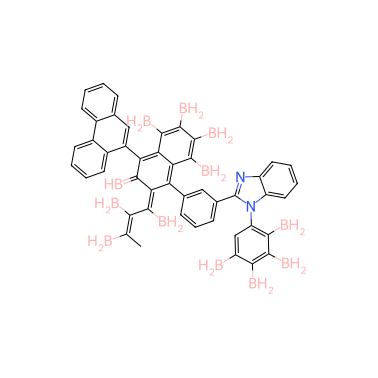 B=c1c(-c2cc3ccccc3c3ccccc23)c2c(B)c(B)c(B)c(B)c2c(-c2cccc(-c3nc4ccccc4n3-c3cc(B)c(B)c(B)c3B)c2)/c1=C(B)/C(B)=C(/B)C